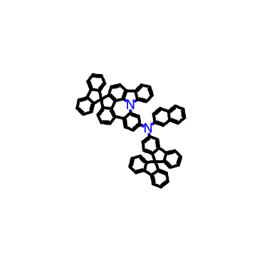 c1ccc2c(c1)-c1ccccc1C21c2ccccc2-c2cc(N(c3ccc4c(c3)-n3c5ccccc5c5ccc6c(c53)-c3c-4cccc3C63c4ccccc4-c4ccccc43)c3ccc4ccccc4c3)ccc21